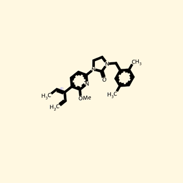 C=C/C(=C\C)c1ccc(N2CCN(Cc3cc(C)ccc3C)C2=O)nc1OC